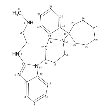 CNCCNc1nc2ccccc2n1C1CCN(C2(c3ccccc3)CCCCCC2)CC1